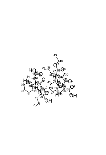 CCC[C@H](N[C@@H](C)C(=O)N1[C@H](C(=O)O)C[C@@H]2CCCC[C@@H]21)C(=O)O.CCC[C@H](N[C@@H](C)C(=O)N1[C@H](C(=O)O)C[C@@H]2CCCC[C@@H]21)C(=O)OCC